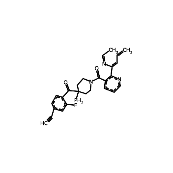 C#Cc1ccc(C(=O)C2(P)CCN(C(=O)c3cccnc3C(=C/C=C)/N=C\C)CC2)c(F)c1